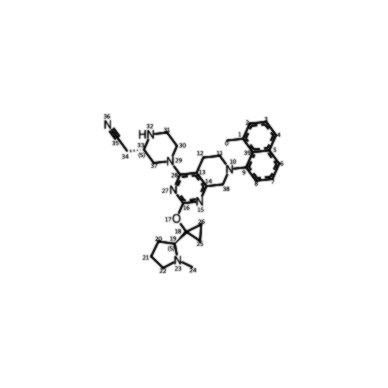 Cc1cccc2cccc(N3CCc4c(nc(OC5([C@@H]6CCCN6C)CC5)nc4N4CCN[C@@H](CC#N)C4)C3)c12